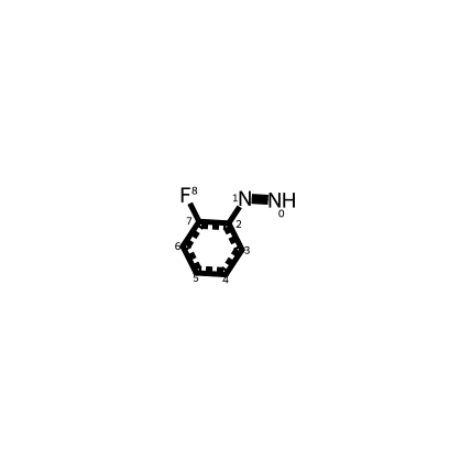 N=Nc1ccccc1F